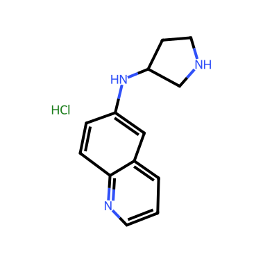 Cl.c1cnc2ccc(NC3CCNC3)cc2c1